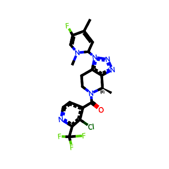 CC1=CC(n2nnc3c2CCN(C(=O)c2ccnc(C(F)(F)F)c2Cl)[C@@H]3C)N(C)C=C1F